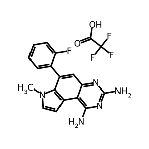 Cn1ccc2c3c(N)nc(N)nc3cc(-c3ccccc3F)c21.O=C(O)C(F)(F)F